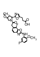 COc1ccc(F)cc1Nc1nc2ccc(CC(=O)N3C[C@@H](OC)C[C@H]3c3ncc(CCC(=O)O)o3)c(F)c2o1